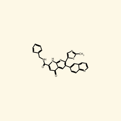 Cc1ncc(-c2nc3[nH]c(C(=O)NCc4ccccc4)cc(=O)c3cc2-c2ccc3ncccc3c2)s1